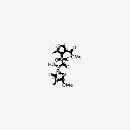 COC(=O)c1csc(C)c1S(=O)(=O)C(=O)N(O)n1nc(OC)n(C)c1=O